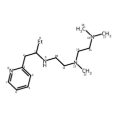 CCC(Cc1ccccn1)NCCN(C)CCN(C)C